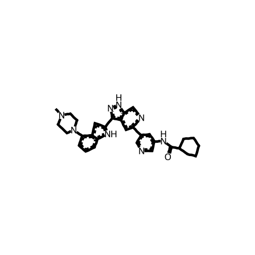 CN1CCN(c2cccc3[nH]c(-c4n[nH]c5cnc(-c6cncc(NC(=O)C7CCCCC7)c6)cc45)cc23)CC1